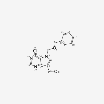 O=Cc1cn(COCc2ccccc2)c2c(Cl)ncnc12